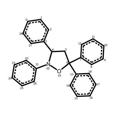 c1ccc(C2CC(c3ccccc3)(c3ccccc3)ON2c2ccccc2)cc1